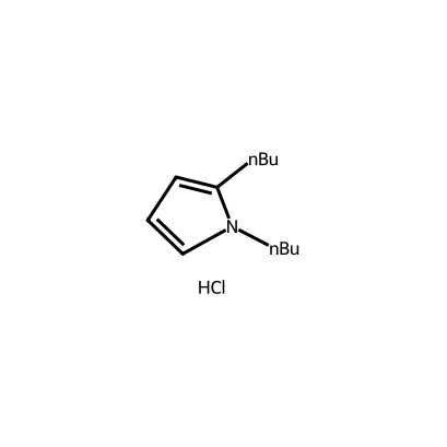 CCCCc1cccn1CCCC.Cl